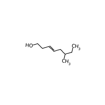 CCC(C)CC=CCCO